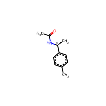 CC(=O)N[C@@H](C)c1ccc(C)cc1